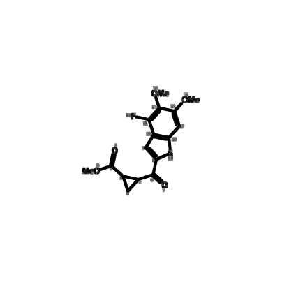 COC(=O)C1CC1C(=O)c1cc2c(F)c(OC)c(OC)cc2s1